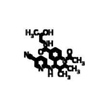 CC(=O)N1c2ccc(C(=O)NC[C@H](C)O)cc2C(Nc2ccc(C#N)cn2)C(C)C1C